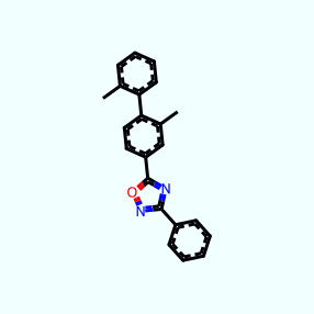 Cc1ccccc1-c1ccc(-c2nc(-c3ccccc3)no2)cc1C